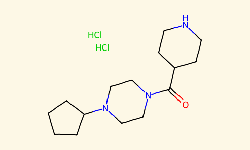 Cl.Cl.O=C(C1CCNCC1)N1CCN(C2CCCC2)CC1